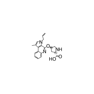 C=CCn1cc(C)c2c3ccccc3nc(O[C@H]3CN[C@H](C(=O)O)C3)c21